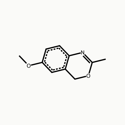 COc1ccc2c(c1)COC(C)=N2